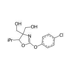 CC(C)C1OC(Oc2ccc(Cl)cc2)=NC1(CO)CO